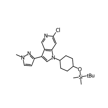 Cn1ccc(-c2cn(C3CCC(O[Si](C)(C)C(C)(C)C)CC3)c3cc(Cl)ncc23)n1